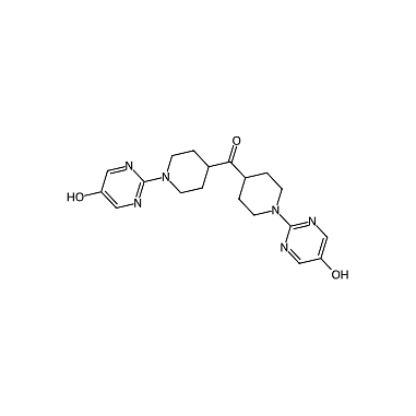 O=C(C1CCN(c2ncc(O)cn2)CC1)C1CCN(c2ncc(O)cn2)CC1